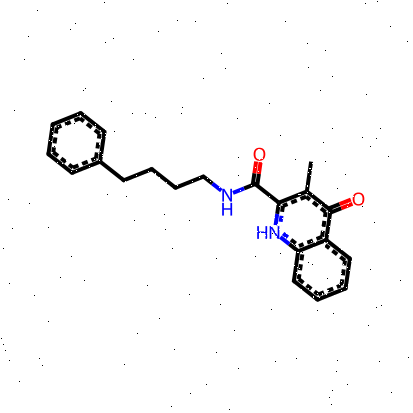 Cc1c(C(=O)NCCCCc2ccccc2)[nH]c2ccccc2c1=O